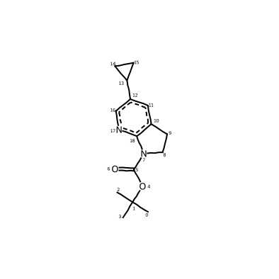 CC(C)(C)OC(=O)N1CCc2cc(C3CC3)cnc21